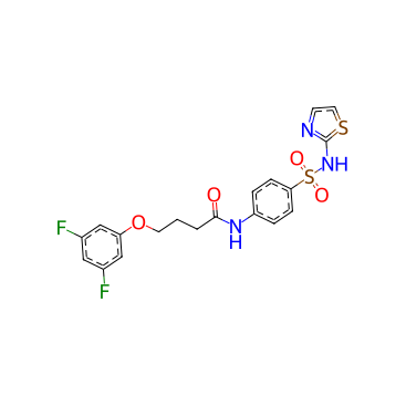 O=C(CCCOc1cc(F)cc(F)c1)Nc1ccc(S(=O)(=O)Nc2nccs2)cc1